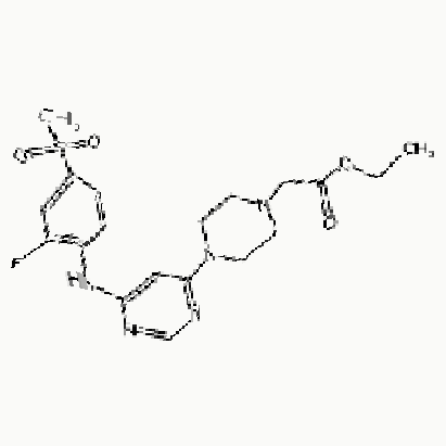 CCOC(=O)CN1CCN(c2cc(Nc3ccc(S(C)(=O)=O)cc3F)ncn2)CC1